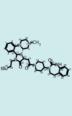 CN1CCN(c2ccccc2C2SC(CC(=O)N3CCC(N4CCc5ccccc5NC4=O)CC3)C(=O)N2CCC(C)(C)C)CC1